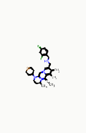 C=C=C1C2=C(C)C(=C)C(CNCc3ccc(F)cc3F)=CN2CC2N(C3CCSCC3)CCC(C)N12